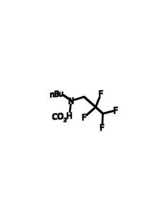 CCCCN(CC(F)(F)C(F)F)C(=O)O